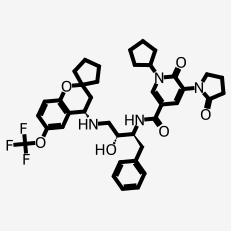 O=C(N[C@@H](Cc1ccccc1)[C@H](O)CN[C@H]1CC2(CCCC2)Oc2ccc(OC(F)(F)F)cc21)c1cc(N2CCCC2=O)c(=O)n(C2CCCC2)c1